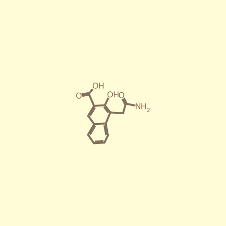 NC(=O)Cc1c(O)c(C(=O)O)cc2ccccc12